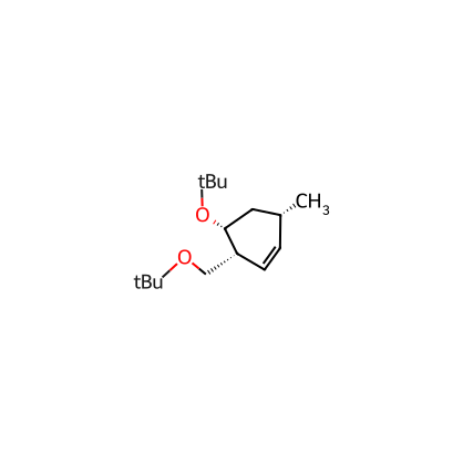 C[C@@H]1C=C[C@H](COC(C)(C)C)[C@H](OC(C)(C)C)C1